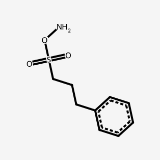 NOS(=O)(=O)CCCc1ccccc1